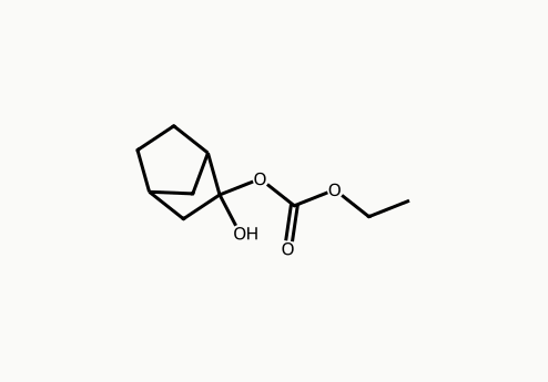 CCOC(=O)OC1(O)CC2CCC1C2